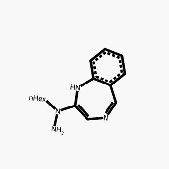 CCCCCCN(N)C1=CN=Cc2ccccc2N1